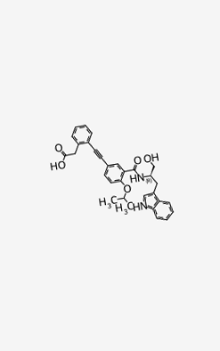 CC(C)Oc1ccc(C#Cc2ccccc2CC(=O)O)cc1C(=O)N[C@@H](CO)Cc1c[nH]c2ccccc12